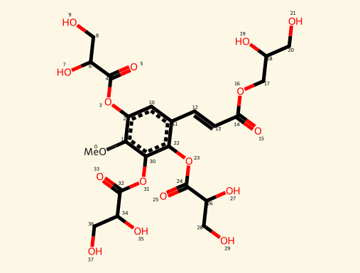 COc1c(OC(=O)C(O)CO)cc(C=CC(=O)OCC(O)CO)c(OC(=O)C(O)CO)c1OC(=O)C(O)CO